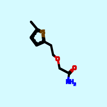 Cc1ccc(CCOCC(N)=O)s1